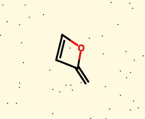 C=C1C=CO1